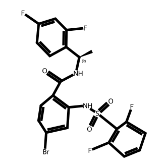 C[C@@H](NC(=O)c1ccc(Br)cc1NS(=O)(=O)c1c(F)cccc1F)c1ccc(F)cc1F